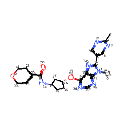 CCn1c(-c2cnc(C)nc2)nc2c(O[C@@H]3CC[C@@H](NC(=O)C4CCOCC4)C3)ncnc21